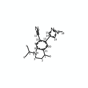 CC1CCN(C(C)C)c2cc(C#N)c(-c3cnn(C)c3)cc21